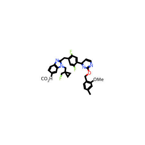 COc1cc(C)ccc1COc1nccc(-c2cc(F)c(Cc3nc4ccc(C(=O)O)cc4n3CC3(CF)CC3)cc2F)n1